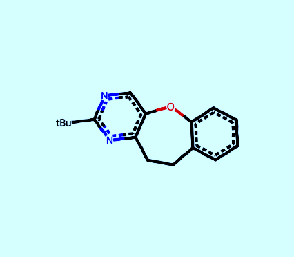 CC(C)(C)c1ncc2c(n1)CCc1ccccc1O2